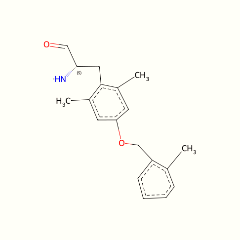 Cc1ccccc1COc1cc(C)c(C[C@H]([NH])C=O)c(C)c1